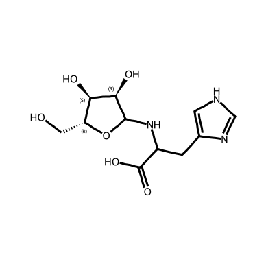 O=C(O)C(Cc1c[nH]cn1)NC1O[C@H](CO)[C@@H](O)[C@H]1O